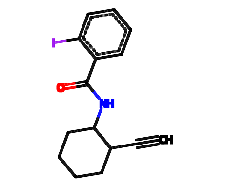 C#CC1CCCCC1NC(=O)c1ccccc1I